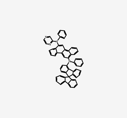 c1ccc(N(c2cnccn2)c2cc3c4ccccc4c(N(c4ccccc4)c4cccc5c4-c4ccccc4C54c5ccccc5-c5ccccc54)cc3c3ccccc23)cc1